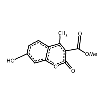 COC(=O)c1c(C)c2ccc(O)cc2oc1=O